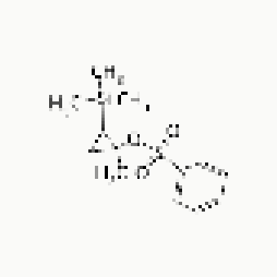 CC1(OS(=O)(=O)c2ccccc2)CC1[Si](C)(C)C